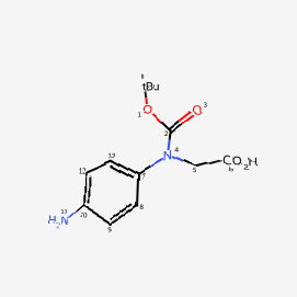 CC(C)(C)OC(=O)N(CC(=O)O)c1ccc(N)cc1